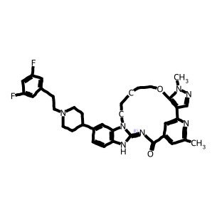 Cc1cc2cc(n1)-c1cnn(C)c1OCCCCCN1/C(=N/C2=O)Nc2ccc(C3CCN(CCc4cc(F)cc(F)c4)CC3)cc21